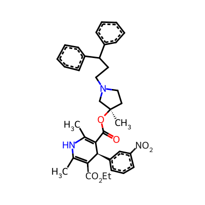 CCOC(=O)C1=C(C)NC(C)=C(C(=O)O[C@]2(C)CCN(CCC(c3ccccc3)c3ccccc3)C2)[C@H]1c1cccc([N+](=O)[O-])c1